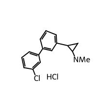 CNC1CC1c1cccc(-c2cccc(Cl)c2)c1.Cl